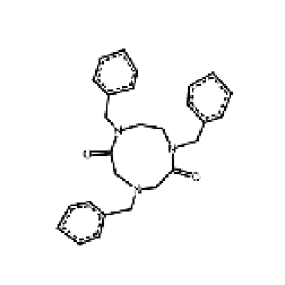 O=C1CN(Cc2ccccc2)CC(=O)N(Cc2ccccc2)CCN1Cc1ccccc1